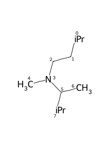 CC(C)CCN(C)C(C)C(C)C